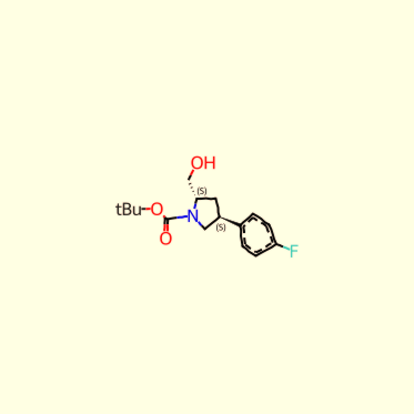 CC(C)(C)OC(=O)N1C[C@H](c2ccc(F)cc2)C[C@H]1CO